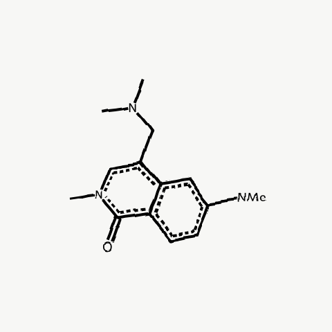 CNc1ccc2c(=O)n(C)cc(CN(C)C)c2c1